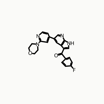 O=C(c1ccc(F)cc1)c1c[nH]c2ncc(-c3ccnc(N4CCOCC4)c3)cc12